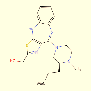 COCC[C@H]1CN(C2=Nc3ccccc3Nc3sc(CO)nc32)CCN1C